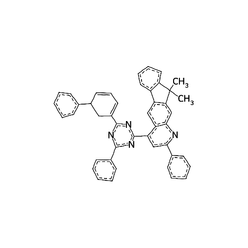 CC1(C)c2ccccc2-c2cc3c(-c4nc(C5=CC=CC(c6ccccc6)C5)nc(-c5ccccc5)n4)cc(-c4ccccc4)nc3cc21